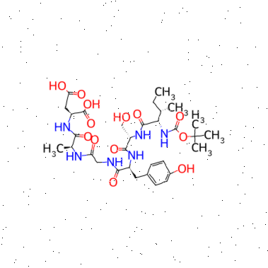 CC[C@H](C)[C@H](NC(=O)OC(C)(C)C)C(=O)N[C@@H](CO)C(=O)N[C@@H](Cc1ccc(O)cc1)C(=O)NCC(=O)N[C@@H](C)C(=O)N[C@@H](CC(=O)O)C(=O)O